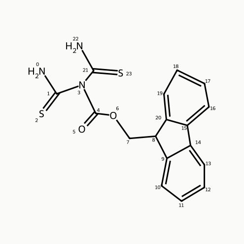 NC(=S)N(C(=O)OCC1c2ccccc2-c2ccccc21)C(N)=S